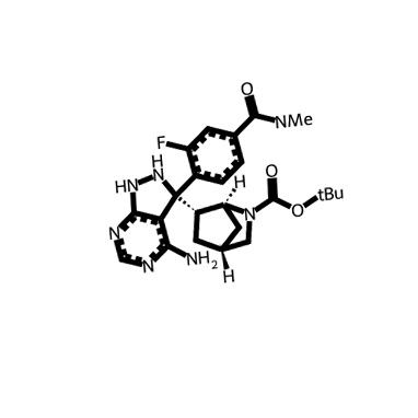 CNC(=O)c1ccc(C2([C@H]3C[C@@H]4C[C@@H]3N(C(=O)OC(C)(C)C)C4)NNc3ncnc(N)c32)c(F)c1